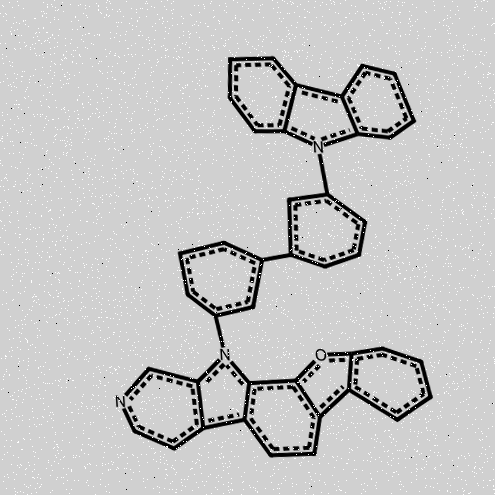 c1cc(-c2cccc(-n3c4cnccc4c4ccc5c6ccccc6oc5c43)c2)cc(-n2c3ccccc3c3ccccc32)c1